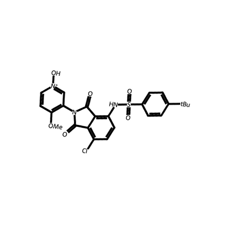 COc1cc[n+](O)cc1N1C(=O)c2c(Cl)ccc(NS(=O)(=O)c3ccc(C(C)(C)C)cc3)c2C1=O